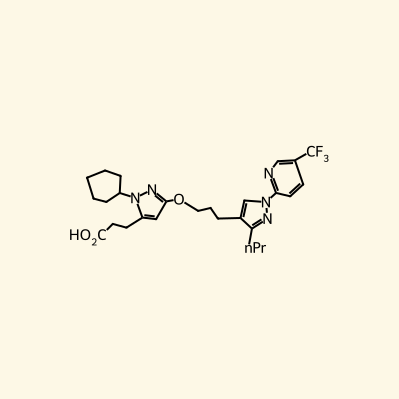 CCCc1nn(-c2ccc(C(F)(F)F)cn2)cc1CCCOc1cc(CCC(=O)O)n(C2CCCCC2)n1